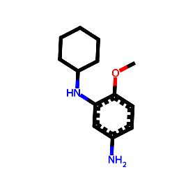 COc1ccc(N)cc1NC1CCCCC1